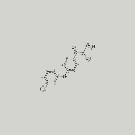 O=C(c1ccc(Oc2cccc(C(F)(F)F)c2)cc1)C(O)S(=O)(=O)O